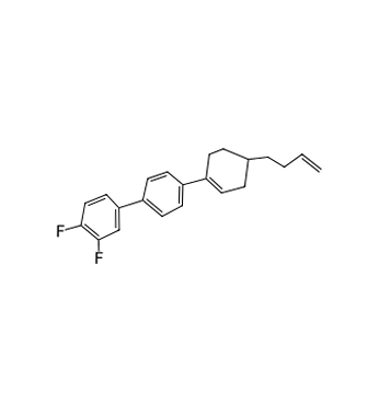 C=CCCC1CC=C(c2ccc(-c3ccc(F)c(F)c3)cc2)CC1